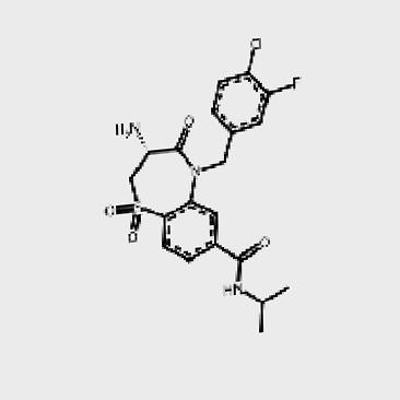 CC(C)NC(=O)c1ccc2c(c1)N(Cc1ccc(Cl)c(F)c1)C(=O)[C@@H](N)CS2(=O)=O